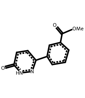 COC(=O)c1cccc(-c2ccc(=O)[nH]n2)c1